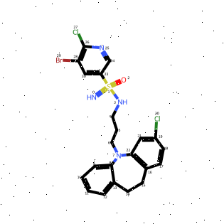 N=S(=O)(NCCCN1c2ccccc2CCc2ccc(Cl)cc21)c1cnc(Cl)c(Br)c1